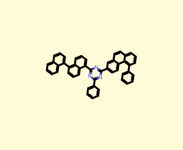 c1ccc(-c2nc(-c3ccc4c(ccc5cccc(-c6ccccc6)c54)c3)nc(-c3cccc4c(-c5cccc6ccccc56)cccc34)n2)cc1